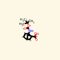 CC(C)(C)OC(=O)NC12CCC(CC1)CC2C(=O)O